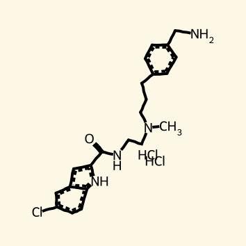 CN(CCCc1ccc(CN)cc1)CCNC(=O)c1cc2cc(Cl)ccc2[nH]1.Cl.Cl